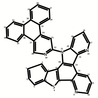 c1ccc2c(c1)sc1c3ncccc3c3c4ncccc4n(-c4cc5c6ccccc6c6ccccc6c5cn4)c3c21